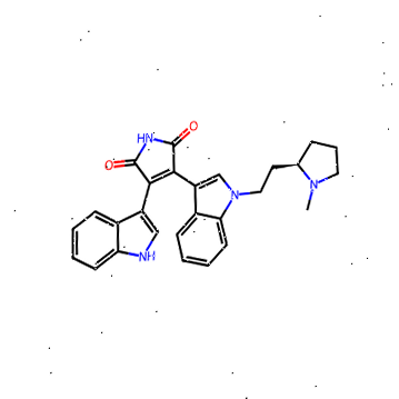 CN1CCC[C@@H]1CCn1cc(C2=C(c3c[nH]c4ccccc34)C(=O)NC2=O)c2ccccc21